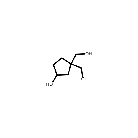 OCC1(CO)CCC(O)C1